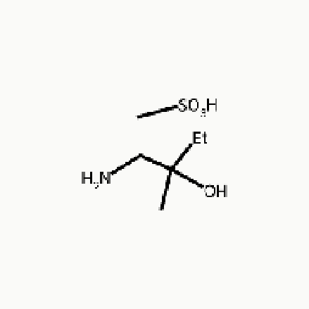 CCC(C)(O)CN.CS(=O)(=O)O